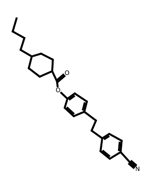 CCCCC1CCC(C(=O)Oc2ccc(CCc3ccc(C#N)cc3)cc2)CC1